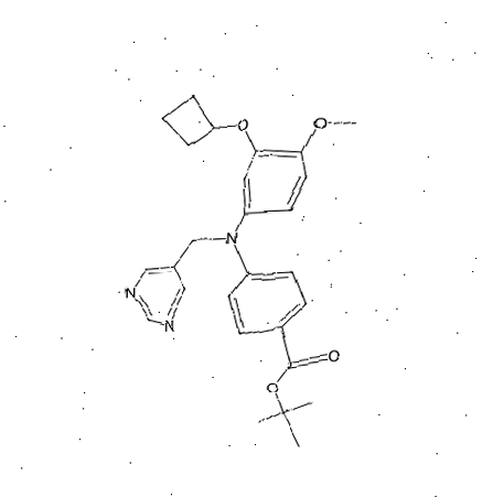 COc1ccc(N(Cc2cncnc2)c2ccc(C(=O)OC(C)(C)C)cc2)cc1OC1CCC1